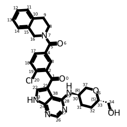 O=C(c1cc(C(=O)N2CCc3ccccc3C2)ccc1Cl)c1c[nH]c2ncnc(N[C@@H]3CC[C@@H](CO)OC3)c12